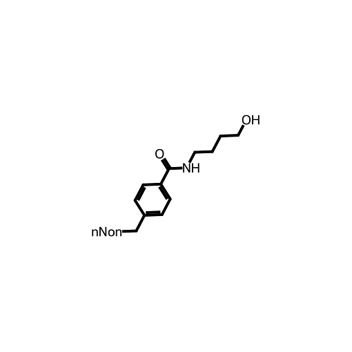 CCCCCCCCCCc1ccc(C(=O)NCCCCO)cc1